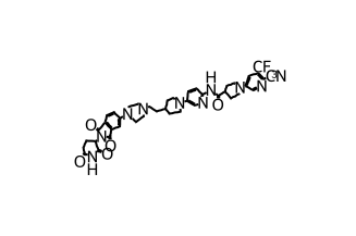 N#Cc1ncc(N2CCC(C(=O)Nc3ccc(N4CCC(CCN5CCN(c6ccc7c(c6)C(=O)N(C6CCC(=O)NC6=O)C7=O)CC5)CC4)cn3)CC2)cc1C(F)(F)F